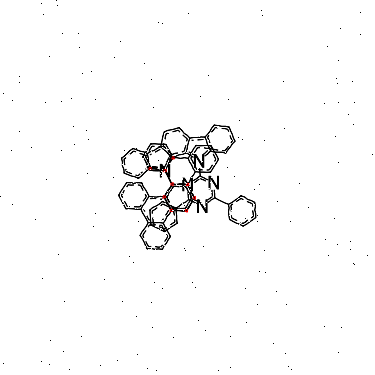 c1ccc(-c2nc(-c3ccccc3)nc(-n3c4ccccc4c4ccc5c6ccccc6n(-c6ccccc6-c6ccccc6-c6ccccc6-c6cccc7c8ccccc8c8ccccc8c67)c5c43)n2)cc1